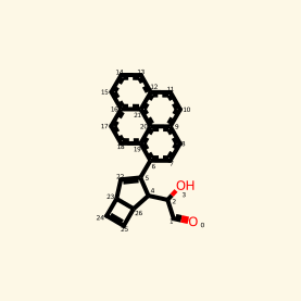 O=CC(O)C1C(c2ccc3ccc4cccc5ccc2c3c45)=CC2C=CC21